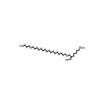 CCCCCCCCCCCCCCCC(CC#N)COCCCCCCCCCCCCCCCCCOCCCO